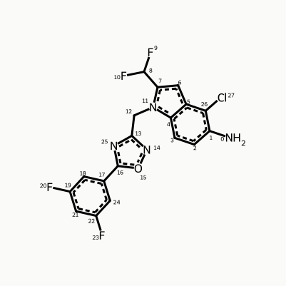 Nc1ccc2c(cc(C(F)F)n2Cc2noc(-c3cc(F)cc(F)c3)n2)c1Cl